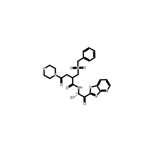 CC[C@H](NC(=O)C(CC(=O)N1CCOCC1)CS(=O)(=O)Cc1ccccc1)C(=O)c1nc2ncccc2o1